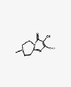 CN1CCc2nc(C=O)c(O)c(=O)n2CC1